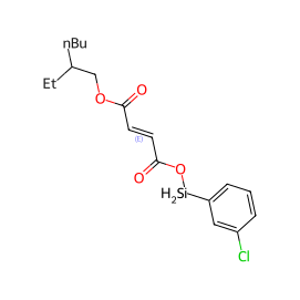 CCCCC(CC)COC(=O)/C=C/C(=O)O[SiH2]c1cccc(Cl)c1